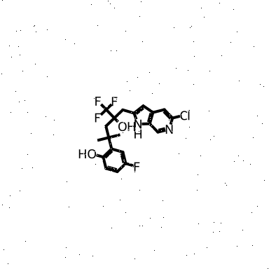 CC(C)(CC(O)(Cc1cc2cc(Cl)ncc2[nH]1)C(F)(F)F)c1cc(F)ccc1O